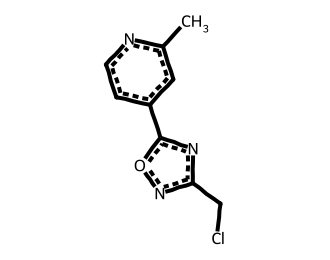 Cc1cc(-c2nc(CCl)no2)ccn1